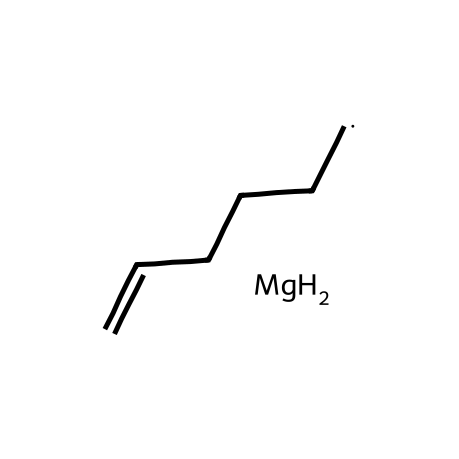 [CH2]CCCC=C.[MgH2]